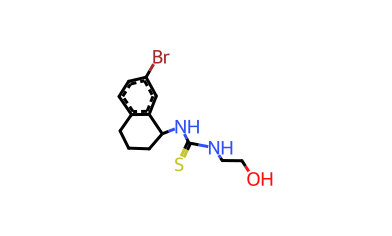 OCCNC(=S)NC1CCCc2ccc(Br)cc21